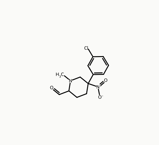 CN1CC(c2cccc(Cl)c2)([N+](=O)[O-])CCC1C=O